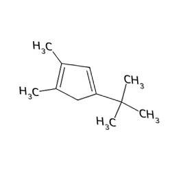 CC1=C(C)CC(C(C)(C)C)=C1